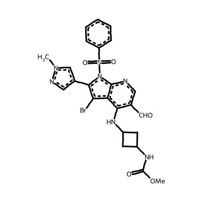 COC(=O)NC1CC(Nc2c(C=O)cnc3c2c(Br)c(-c2cnn(C)c2)n3S(=O)(=O)c2ccccc2)C1